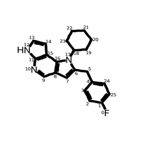 Fc1ccc(Cc2cc3cnc4[nH]ccc4c3n2C2CCCCC2)cc1